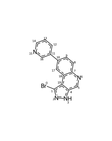 Brc1n[nH]c2cnc3ccc(-c4cccnc4)cc3c12